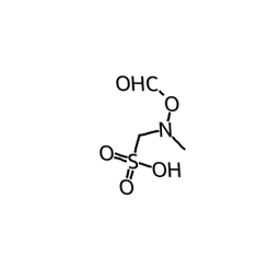 CN(CS(=O)(=O)O)OC=O